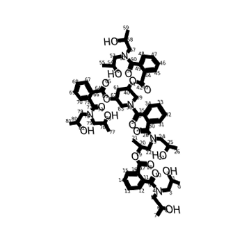 CC(O)CN(CC(C)O)C(=O)c1ccccc1C(=O)OC(C)CN(CC(C)O)C(=O)c1ccccc1C(=O)N1CC(OC(=O)c2ccccc2C(=O)N(CC(C)O)CC(C)O)CC(OC(=O)c2ccccc2C(=O)N(CC(C)O)CC(C)O)C1